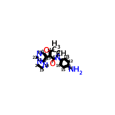 Cc1oc2c(c1C(=O)N(C)c1ccc(N)cc1)C1=NCCN1C=N2